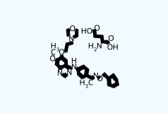 COc1cc2ncnc(Nc3ccc(C(C)=NOCc4ccccc4)cc3)c2cc1OCCCN1CCOCC1.N[C@@H](CCC(=O)O)C(=O)O